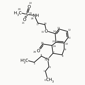 CCCN(CCC)C1CCc2cccc(OCCNS(C)(=O)=O)c2C1C=O